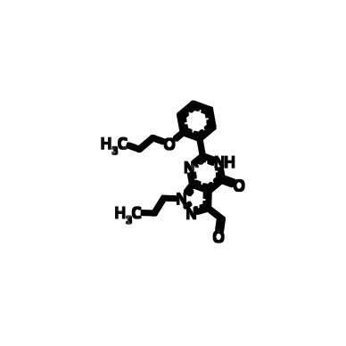 CCCOc1ccccc1-c1nc2c(c(C=O)nn2CCC)c(=O)[nH]1